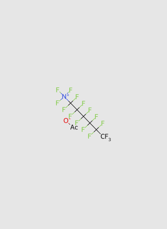 CC(=O)[O-].FC(F)(F)C(F)(F)C(F)(F)C(F)(F)C(F)(F)C(F)(F)[N+](F)(F)F